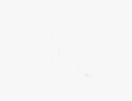 CC(C)(C)c1ccc(C(=C(c2ccccc2)c2ccccc2)c2ccccc2)cc1